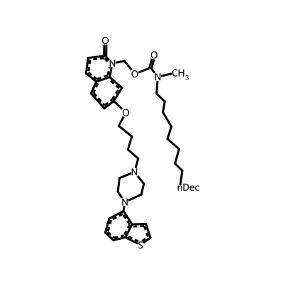 CCCCCCCCCCCCCCCCCCN(C)C(=O)OCn1c(=O)ccc2ccc(OCCCCN3CCN(c4cccc5sccc45)CC3)cc21